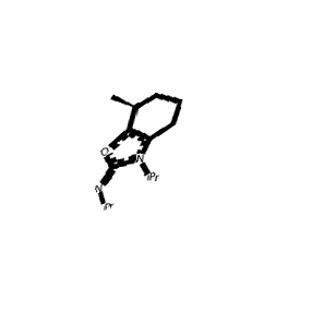 CC(C)/N=c1/oc2c(n1C(C)C)CCC[C@@H]2C